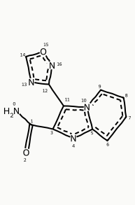 NC(=O)c1nc2ccccn2c1-c1ncon1